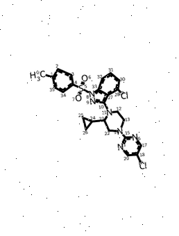 Cc1ccc(S(=O)(=O)n2nc(N3CCN(c4ncc(Cl)cn4)CC3C3CC3)c3c(Cl)cccc32)cc1